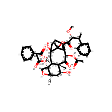 CO[C@@H](C(=O)OC1(C)C2=C(C)CC[C@@]1(O)[C@@H](OC(=O)c1ccccc1)[C@@H]1[C@]3(OC(C)=O)CO[C@@H]3C[C@H](O)[C@@]1(C)C(=O)[C@@H]2OC(C)=O)C(C)c1ccccc1